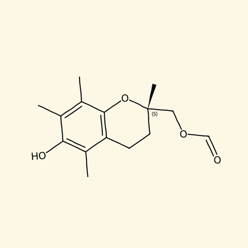 Cc1c(C)c2c(c(C)c1O)CC[C@@](C)(COC=O)O2